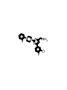 NCc1cc(-c2ccc(F)c(Cl)c2)nc(N2CCN(c3ccccc3F)CC2)n1